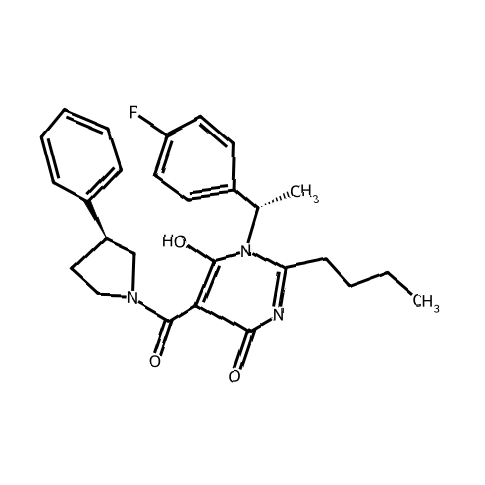 CCCCc1nc(=O)c(C(=O)N2CC[C@@H](c3ccccc3)C2)c(O)n1[C@@H](C)c1ccc(F)cc1